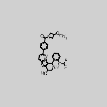 COC1CN(C(=O)c2ccc(-c3ccc4nc5c(n4n3)C(c3ccccc3OC(F)F)NCC5O)cc2)C1